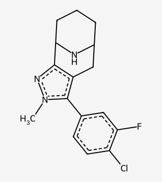 Cn1nc2c(c1-c1ccc(Cl)c(F)c1)CC1CCCC2N1